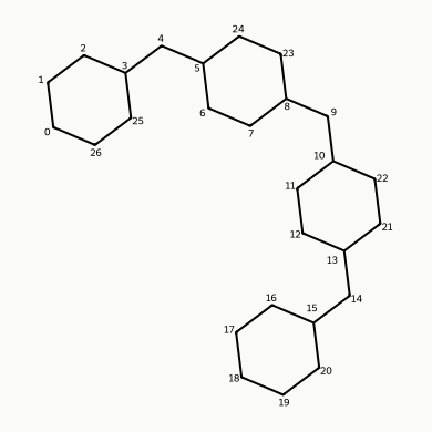 C1CCC(CC2CCC(CC3CCC(CC4CCCCC4)CC3)CC2)CC1